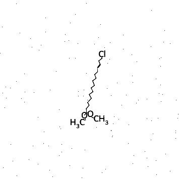 CCOC(CCCCCCCCCCCC/C=C/CCCl)OCC